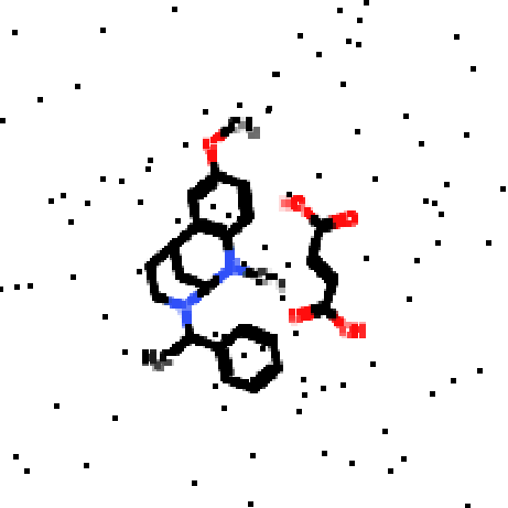 COc1ccc2c(c1)C1CCN(C(C)c3ccccc3)C(C1)N2C.O=C(O)C=CC(=O)O